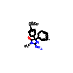 COc1ccc(C2(c3c[c]ccc3)N=C(N)N(C)C2=O)cc1